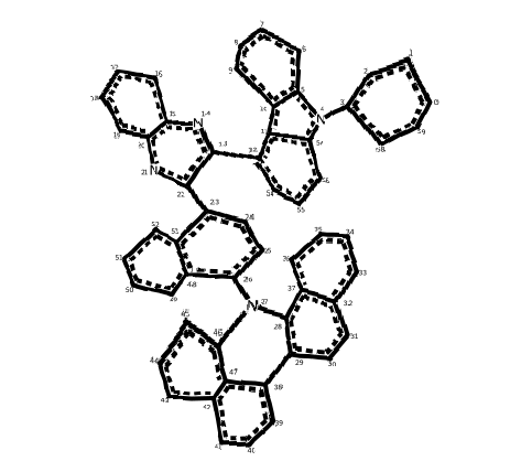 c1ccc(-n2c3ccccc3c3c(-c4nc5ccccc5nc4-c4ccc(N5c6c(ccc7ccccc67)-c6cccc7cccc5c67)c5ccccc45)cccc32)cc1